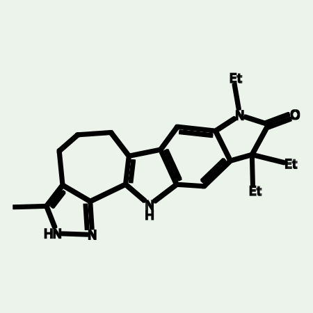 CCN1C(=O)C(CC)(CC)c2cc3[nH]c4c(c3cc21)CCCc1c-4n[nH]c1C